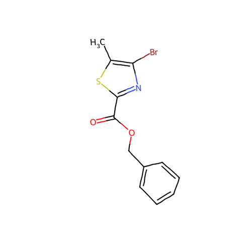 Cc1sc(C(=O)OCc2ccccc2)nc1Br